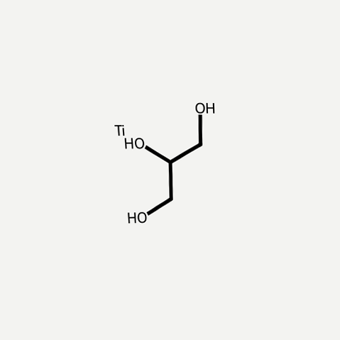 OCC(O)CO.[Ti]